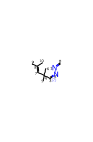 C=N/N=C\C(C)(C)C=C(C)C